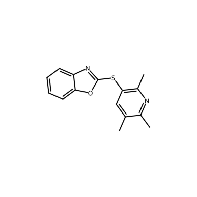 Cc1cc(Sc2nc3ccccc3o2)c(C)nc1C